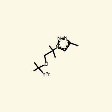 CCCC(C)(C)OCC(C)(C)n1cc(C)nn1